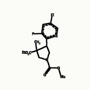 CCOC(=O)C1(C)CN(C(=O)OC(C)(C)C)CC1c1ncc(Cl)cc1F